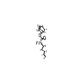 CCCCCNC(=O)OC1CN2CCC1CC2